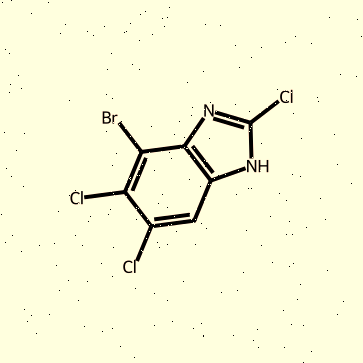 Clc1nc2c(Br)c(Cl)c(Cl)cc2[nH]1